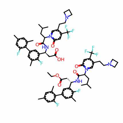 CCOC(=O)C[C@H](NC(=O)C(CC(C)C)n1cc(CCN2CCC2)c(C(F)(F)F)cc1=O)c1cc(-c2c(C)cc(C)cc2F)cc(C)c1F.Cc1cc(C)c(-c2cc(C)c(F)c([C@H](CC(=O)O)NC(=O)C(CC(C)C)n3cc(CCN4CCC4)c(C(F)(F)F)cc3=O)c2)c(F)c1